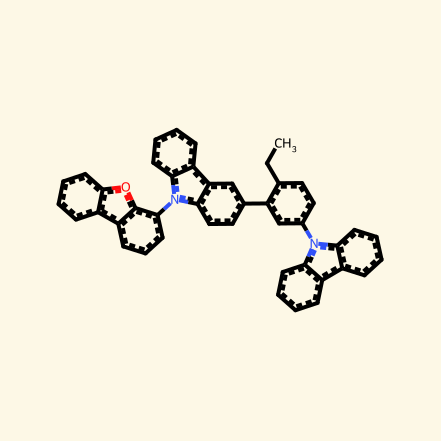 CCc1ccc(-n2c3ccccc3c3ccccc32)cc1-c1ccc2c(c1)c1ccccc1n2-c1cccc2c1oc1ccccc12